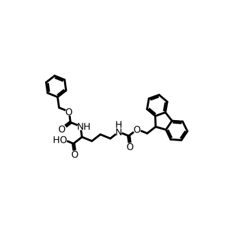 O=C(NCCCC(NC(=O)OCc1ccccc1)C(=O)O)OCC1c2ccccc2-c2ccccc21